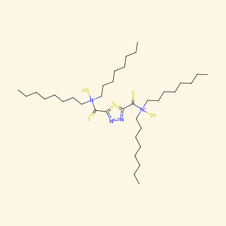 CCCCCCCC[N+](S)(CCCCCCCC)C(=S)c1nnc(C(=S)[N+](S)(CCCCCCCC)CCCCCCCC)s1